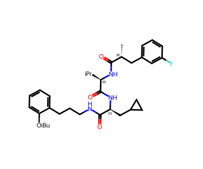 CC(C)COc1ccccc1CCCNC(=O)[C@H](CC1CC1)NC(=O)[C@H](NC(=O)[C@H](C)Cc1cccc(F)c1)C(C)C